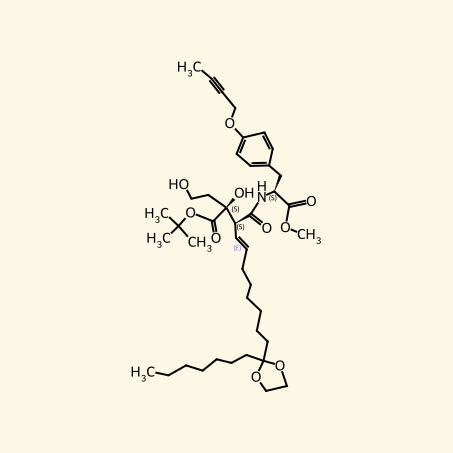 CC#CCOc1ccc(C[C@H](NC(=O)[C@@H](/C=C/CCCCCCC2(CCCCCCC)OCCO2)[C@@](O)(CCO)C(=O)OC(C)(C)C)C(=O)OC)cc1